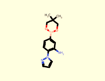 CC1(C)COB(c2ccc(-n3cccn3)c(N)c2)OC1